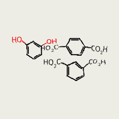 O=C(O)c1ccc(C(=O)O)cc1.O=C(O)c1cccc(C(=O)O)c1.Oc1cccc(O)c1